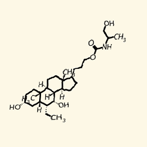 CC[C@H]1[C@@H](O)[C@@H]2[C@H](CC[C@]3(C)[C@@H](CCCOC(=O)NC(C)CO)CC[C@@H]23)[C@@]2(C)CC[C@@H](O)C[C@@H]12